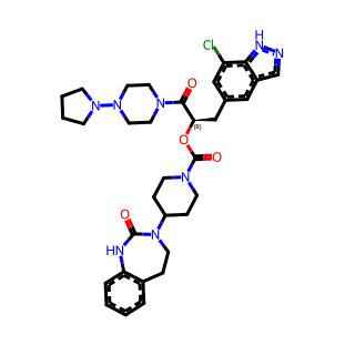 O=C(O[C@H](Cc1cc(Cl)c2[nH]ncc2c1)C(=O)N1CCN(N2CCCC2)CC1)N1CCC(N2CCc3ccccc3NC2=O)CC1